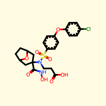 O=C(O)CCN(C1(C(=O)NO)CC2CCC(C1)O2)S(=O)(=O)c1ccc(Oc2ccc(Cl)cc2)cc1